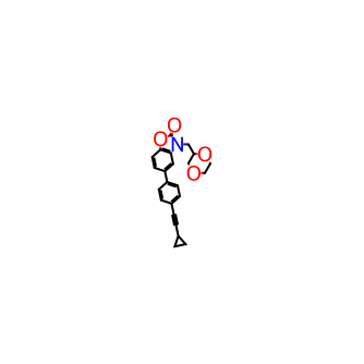 O=c1oc2ccc(-c3ccc(C#CC4CC4)cc3)cc2n1CC1COCCO1